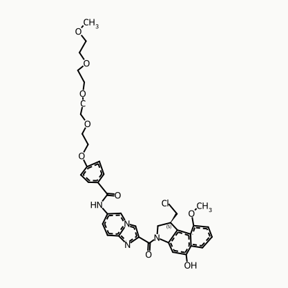 COCCOCCOCCOCCOc1ccc(C(=O)Nc2ccc3nc(C(=O)N4C[C@@H](CCl)c5c4cc(O)c4cccc(OC)c54)cn3c2)cc1